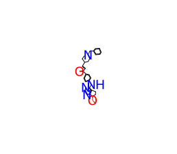 COC1CCc2c(Nc3ccc(C(=O)/C=C/C4CCN(Cc5ccccc5)CC4)cc3)ncnc21